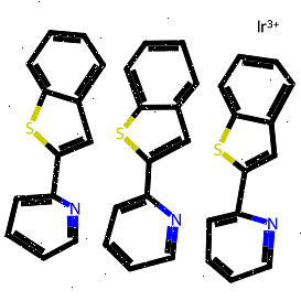 [Ir+3].c1ccc(-c2cc3ccccc3s2)nc1.c1ccc(-c2cc3ccccc3s2)nc1.c1ccc(-c2cc3ccccc3s2)nc1